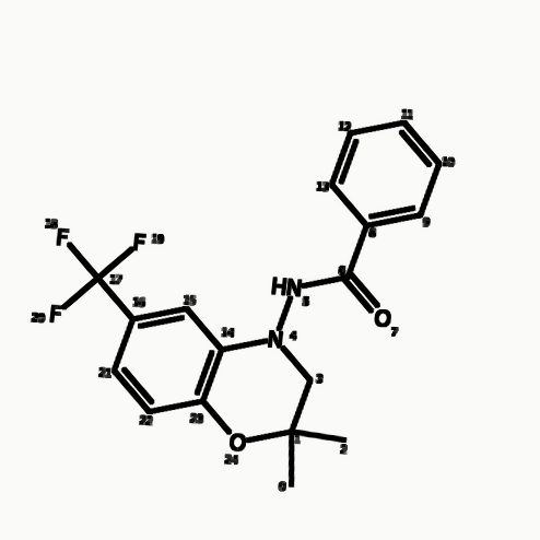 CC1(C)CN(NC(=O)c2ccccc2)c2cc(C(F)(F)F)ccc2O1